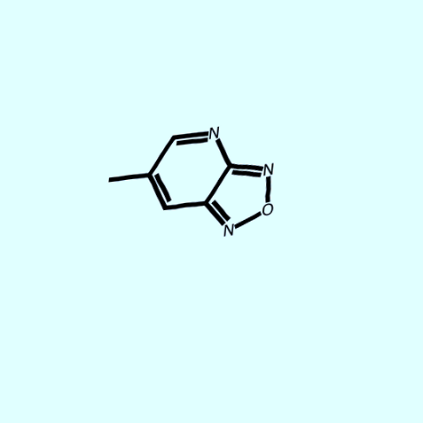 Cc1cnc2nonc2c1